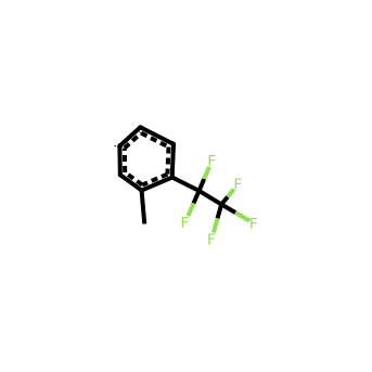 Cc1c[c]ccc1C(F)(F)C(F)(F)F